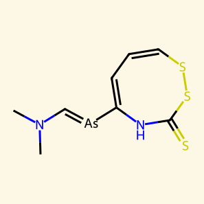 CN(C)C=[As]c1cccssc(=S)[nH]1